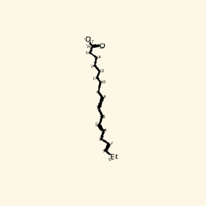 CC/C=C/C/C=C/C/C=C/CCCCCCCC([O])=O